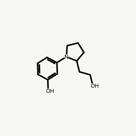 OCCC1CCCN1c1cccc(O)c1